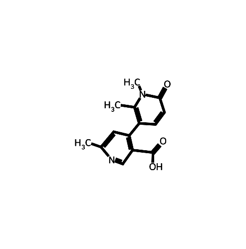 Cc1cc(-c2ccc(=O)n(C)c2C)c(C(=O)O)cn1